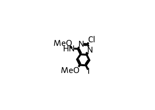 CONc1nc(Cl)nc2cc(I)c(OC)cc12